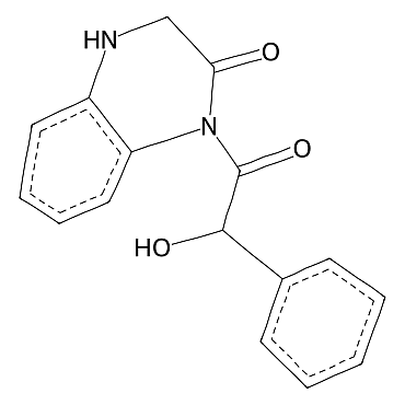 O=C1CNc2ccccc2N1C(=O)C(O)c1ccccc1